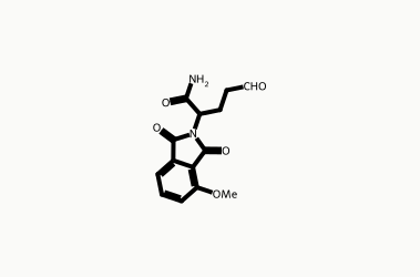 COc1cccc2c1C(=O)N(C(CCC=O)C(N)=O)C2=O